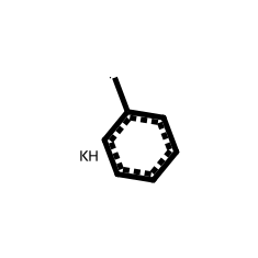 [CH2]c1ccccc1.[KH]